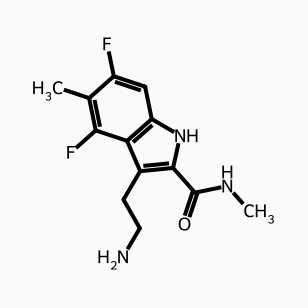 CNC(=O)c1[nH]c2cc(F)c(C)c(F)c2c1CCN